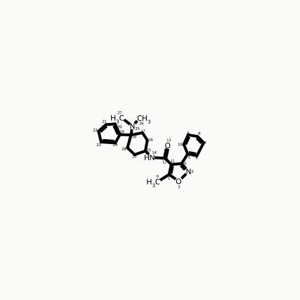 Cc1onc(-c2ccccc2)c1C(=O)NC1CCC(c2ccccc2)(N(C)C)CC1